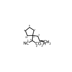 C=CCC1(C(C#N)C(=O)O)CCCC1